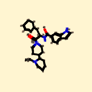 CN1CCCCC1C1CCN(C(=O)[C@@H](CC2CCCCC2)NC(=O)c2ccc3cc[nH]c3c2)CC1